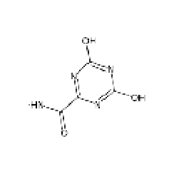 [NH]C(=O)c1nc(O)nc(O)n1